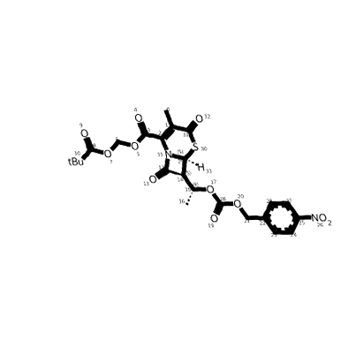 CC1=C(C(=O)OCOC(=O)C(C)(C)C)N2C(=O)[C@H]([C@@H](C)OC(=O)OCc3ccc([N+](=O)[O-])cc3)[C@@H]2SC1=O